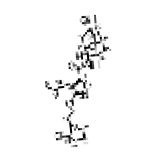 CC(C)Sc1c(OCCN2CCCC2=O)noc1C(=O)N[C@H]1C2CC3CC1C[C@](O)(C3)C2